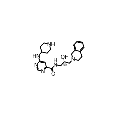 O=C(NC[C@H](O)CN1CCc2ccccc2C1)c1cc(NC2CCNCC2)ncn1